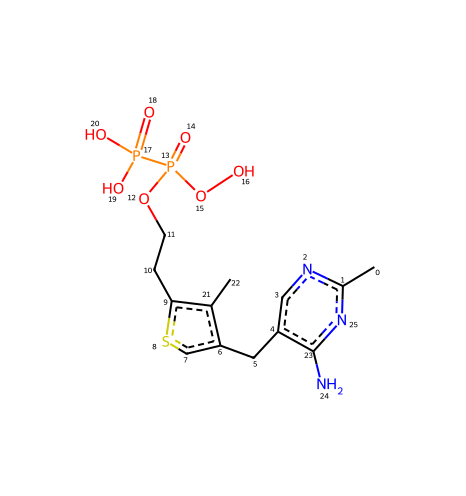 Cc1ncc(Cc2csc(CCOP(=O)(OO)P(=O)(O)O)c2C)c(N)n1